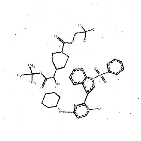 CC(C)(C)OC(=O)C(N[C@H]1CCC[C@@H](Nc2ncc(Cl)c(-c3cn(S(=O)(=O)c4ccccc4)c4ccccc34)n2)C1)C1CCN(C(=O)OCC(Cl)(Cl)Cl)CC1